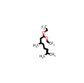 CC(C)=CCCC(C)CC(OCC(F)(F)F)OCC(F)(F)F